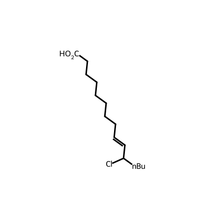 CCCCC(Cl)C=CCCCCCCCC(=O)O